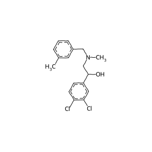 Cc1cccc(CN(C)CC(O)c2ccc(Cl)c(Cl)c2)c1